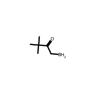 BCC(=O)C(C)(C)C